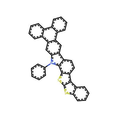 c1ccc(-n2c3cc4c5ccccc5c5ccccc5c4cc3c3ccc4c(sc5sc6ccccc6c54)c32)cc1